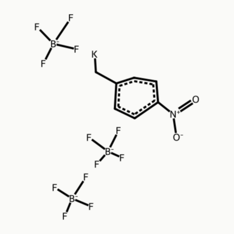 F[B-](F)(F)F.F[B-](F)(F)F.F[B-](F)(F)F.O=[N+]([O-])c1ccc([CH2][K])cc1